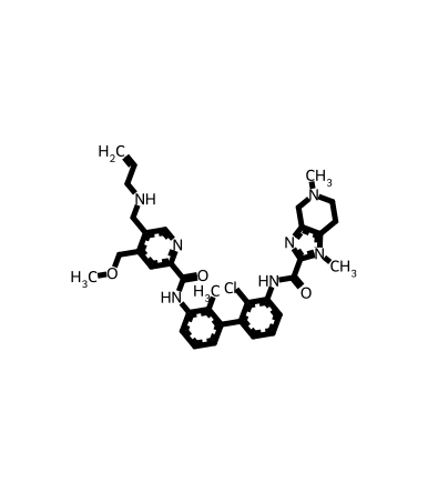 C=CCNCc1cnc(C(=O)Nc2cccc(-c3cccc(NC(=O)c4nc5c(n4C)CCN(C)C5)c3Cl)c2C)cc1COC